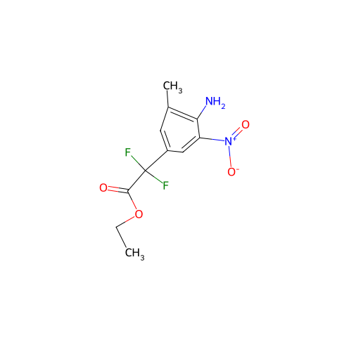 CCOC(=O)C(F)(F)c1cc(C)c(N)c([N+](=O)[O-])c1